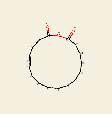 O=C1CC/C=C\CCCCCCCCCCC(=O)O1